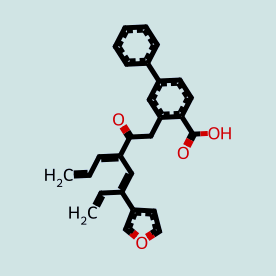 C=C/C=C(\C=C(/C=C)c1ccoc1)C(=O)Cc1cc(-c2ccccc2)ccc1C(=O)O